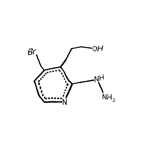 NNc1nccc(Br)c1CO